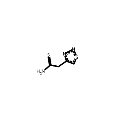 NC(=S)Cc1csnn1